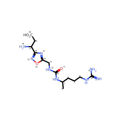 CC(CCCNC(=N)N)NC(=O)NCc1nc(C(N)CC(=O)O)no1